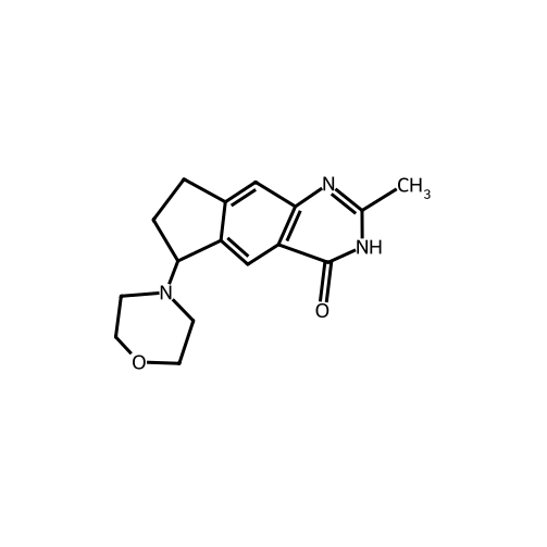 Cc1nc2cc3c(cc2c(=O)[nH]1)C(N1CCOCC1)CC3